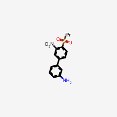 CC(C)S(=O)(=O)c1ccc(-c2cccc(N)c2)cc1[N+](=O)[O-]